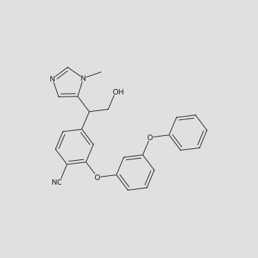 Cn1cncc1C(CO)c1ccc(C#N)c(Oc2cccc(Oc3ccccc3)c2)c1